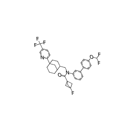 O=C(N(CC1CCC2(c3ccc(C(F)(F)F)cn3)CCCC1C2)c1cccc(-c2ccc(OC(F)F)cc2)c1)C12CC(F)(C1)C2